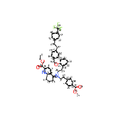 CCOC(=O)c1ccc2c(n1)CCCC2N(CCc1ccc(C(=O)OC)cc1)CCc1ccccc1OCc1ccc(CCc2ccc(C(F)(F)F)cc2)cc1